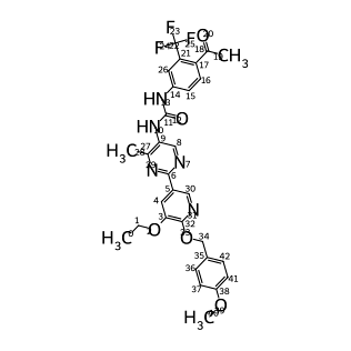 CCOc1cc(-c2ncc(NC(=O)Nc3ccc(C(C)=O)c(C(F)(F)F)c3)c(C)n2)cnc1OCc1ccc(OC)cc1